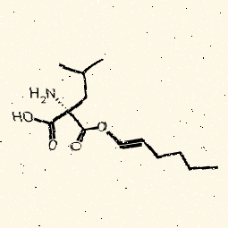 CCCCC=COC(=O)[C@](N)(CC(C)C)C(=O)O